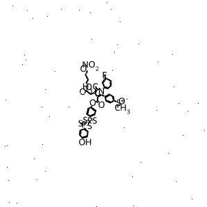 Cc1c(CC(=O)OCCCCO[N+](=O)[O-])c(C(=O)Oc2ccc(P3(=S)SP(=S)(c4ccc(O)cc4)S3)cc2)c(-c2ccc([S+](C)[O-])cc2)n1-c1cccc(F)c1